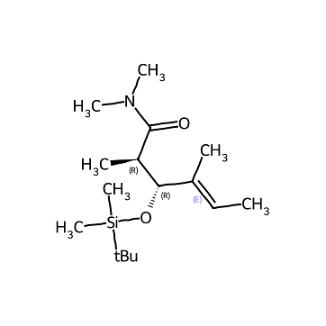 C/C=C(\C)[C@H](O[Si](C)(C)C(C)(C)C)[C@@H](C)C(=O)N(C)C